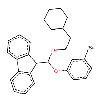 CCC(C)c1cccc(OC(OCCC2CCCCC2)C2c3ccccc3-c3ccccc32)c1